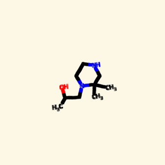 CC(O)CN1CCNCC1(C)C